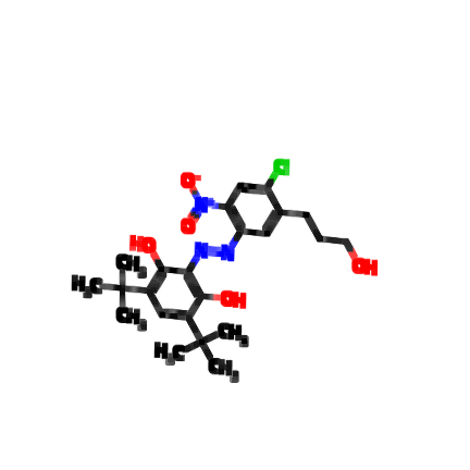 CC(C)(C)c1cc(C(C)(C)C)c(O)c(N=Nc2cc(CCCO)c(Cl)cc2[N+](=O)[O-])c1O